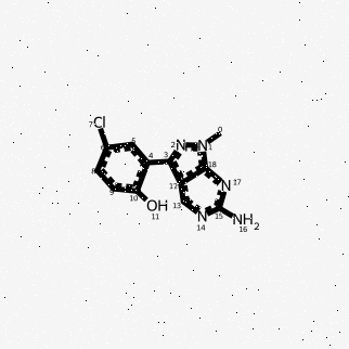 Cn1nc(-c2cc(Cl)ccc2O)c2cnc(N)nc21